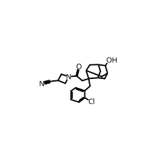 N#CC1CN(C(=O)CC2(Cc3ccccc3Cl)C3CC4CC2CC(C3)C4O)C1